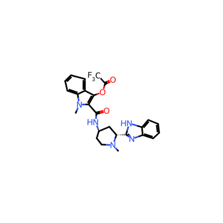 CN1CC[C@@H](NC(=O)c2c(OC(=O)C(F)(F)F)c3ccccc3n2C)C[C@@H]1c1nc2ccccc2[nH]1